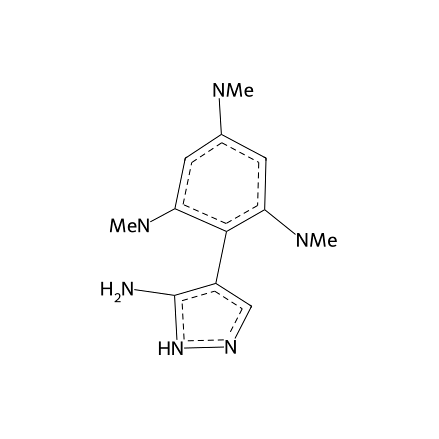 CNc1cc(NC)c(-c2cn[nH]c2N)c(NC)c1